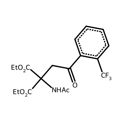 CCOC(=O)C(CC(=O)c1ccccc1C(F)(F)F)(NC(C)=O)C(=O)OCC